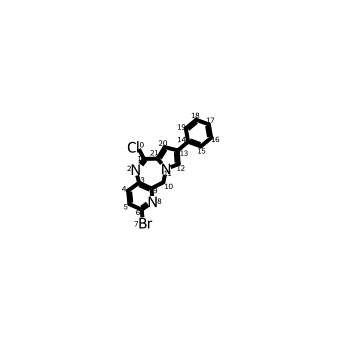 ClC1=Nc2ccc(Br)nc2Cn2cc(-c3ccccc3)cc21